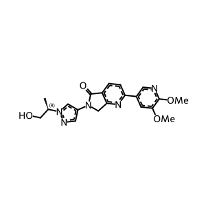 COc1cc(-c2ccc3c(n2)CN(c2cnn([C@H](C)CO)c2)C3=O)cnc1OC